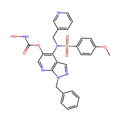 COc1ccc(S(=O)(=O)N(Cc2cccnc2)c2c(OC(=O)NO)cnc3c2cnn3Cc2ccccc2)cc1